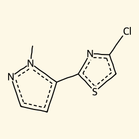 Cn1nccc1-c1nc(Cl)cs1